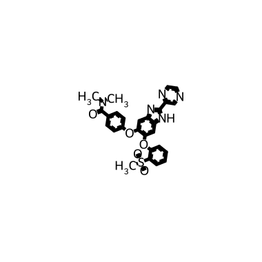 CN(C)C(=O)c1ccc(Oc2cc3nc(-c4cnccn4)[nH]c3cc2Oc2ccccc2S(C)(=O)=O)cc1